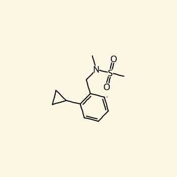 CN(Cc1[c]cccc1C1CC1)S(C)(=O)=O